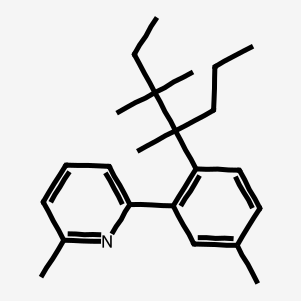 CCCC(C)(c1ccc(C)cc1-c1cccc(C)n1)C(C)(C)CC